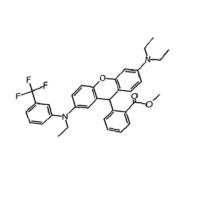 CCN(CC)c1ccc2c(c1)Oc1ccc(N(CC)c3cccc(C(F)(F)F)c3)cc1C2c1ccccc1C(=O)OC